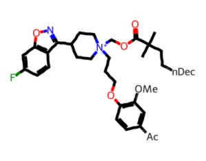 CCCCCCCCCCCCC(C)(C)C(=O)OC[N+]1(CCCOc2ccc(C(C)=O)cc2OC)CCC(c2noc3cc(F)ccc23)CC1